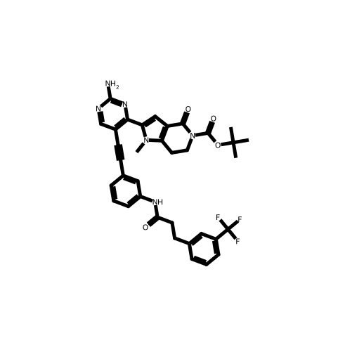 Cn1c(-c2nc(N)ncc2C#Cc2cccc(NC(=O)CCc3cccc(C(F)(F)F)c3)c2)cc2c1CCN(C(=O)OC(C)(C)C)C2=O